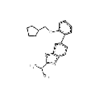 CN(C)c1nc2ccc(-c3ccccc3OCC3CCCC3)cc2s1